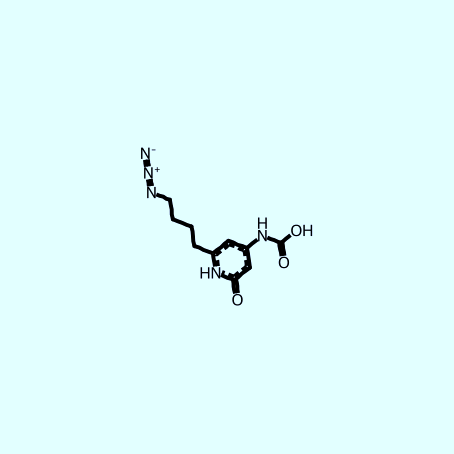 [N-]=[N+]=NCCCCc1cc(NC(=O)O)cc(=O)[nH]1